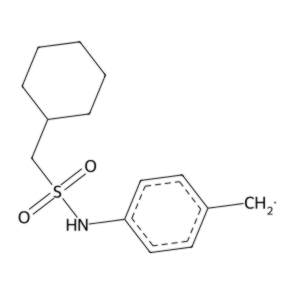 [CH2]c1ccc(NS(=O)(=O)CC2CCCCC2)cc1